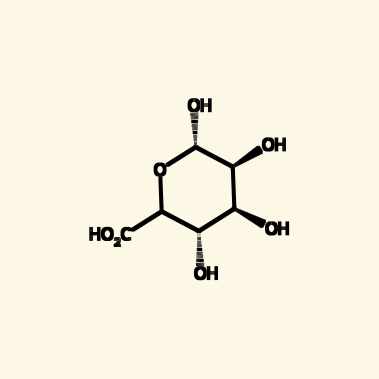 O=C(O)C1O[C@H](O)[C@@H](O)[C@@H](O)[C@@H]1O